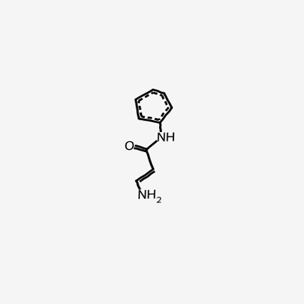 NC=CC(=O)Nc1ccccc1